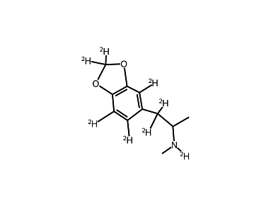 [2H]c1c([2H])c(C([2H])([2H])C(C)N([2H])C)c([2H])c2c1OC([2H])([2H])O2